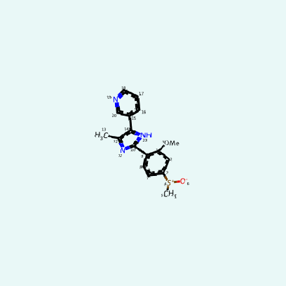 COc1cc([S+](C)[O-])ccc1-c1nc(C)c(-c2cccnc2)[nH]1